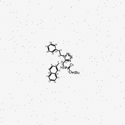 CC(C)(C)OC(=O)N[C@H](Cc1ccc2ccccc2c1)c1nnnn1CCc1ccccc1